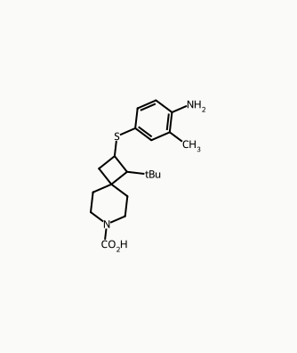 Cc1cc(SC2CC3(CCN(C(=O)O)CC3)C2C(C)(C)C)ccc1N